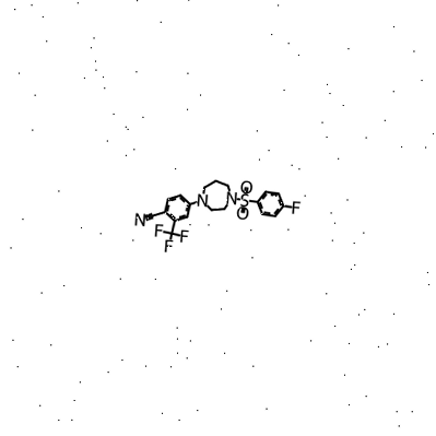 N#Cc1ccc(N2CCCN(S(=O)(=O)c3ccc(F)cc3)CC2)cc1C(F)(F)F